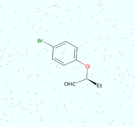 CC[C@@H](C=O)Oc1ccc(Br)cc1